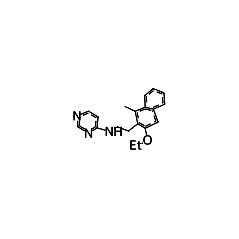 CCOc1cc2ccccc2c(C)c1CCNc1ccncn1